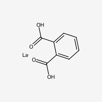 O=C(O)c1ccccc1C(=O)O.[La]